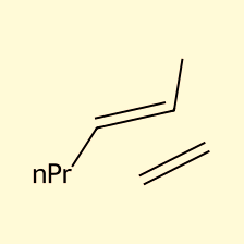 C/C=C/CCC.C=C